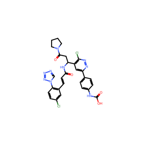 O=C(O)Nc1ccc(-c2cc(C(CC(=O)N3CCCC3)NC(=O)C=Cc3cc(Cl)ccc3-n3cnnn3)c(Cl)nn2)cc1